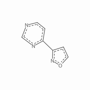 c1cc(-c2ccon2)ncn1